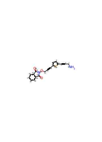 NCC#Cc1ccc(C#CCON2C(=O)c3ccccc3C2=O)s1